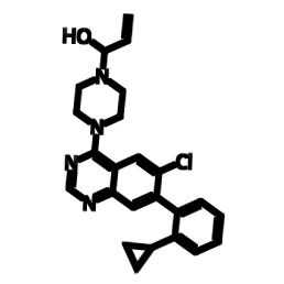 C=CC(O)N1CCN(c2ncnc3cc(-c4ccccc4C4CC4)c(Cl)cc23)CC1